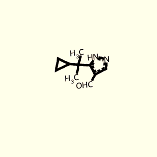 CC(C)(c1[nH]ncc1C=O)C1CC1